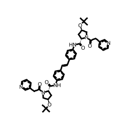 CC(C)(C)O[C@@H]1C[C@@H](C(=O)Nc2ccc(/C=C/c3ccc(NC(=O)[C@@H]4C[C@@H](OC(C)(C)C)CN4C(=O)Cc4cccnc4)cc3)cc2)N(C(=O)Cc2cccnc2)C1